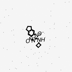 [O-][n+]1nc(NC2CCC2)[n+]([O-])c2cc3c(cc21)CCC3